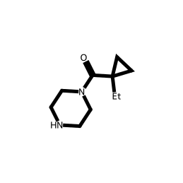 CCC1(C(=O)N2CCNCC2)CC1